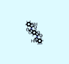 O=C1Nc2ccccc2/C1=C1\C(=O)Oc2cc3c(cc21)OC(=O)/C3=C1/CNc2ccccc21